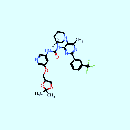 Cc1nc(-c2cccc(C(F)(F)F)c2)nc2c1N1CCC[C@@H](C1)N2C(=O)Nc1cncc(OCC2COC(C)(C)O2)c1